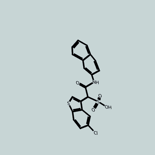 O=C(Nc1ccc2ccccc2c1)C(c1csc2ccc(Cl)cc12)S(=O)(=O)O